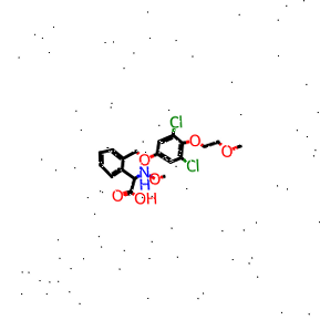 COCCOc1c(Cl)cc(OCc2ccccc2C(NOC)C(=O)O)cc1Cl